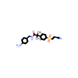 CC(C)(C(=O)NCc1ccc(N)cc1)c1ccc(S(=O)(=O)C=CC#N)cc1